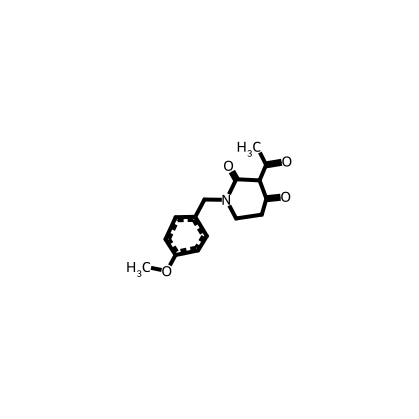 COc1ccc(CN2CCC(=O)C(C(C)=O)C2=O)cc1